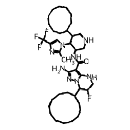 Cc1nc(C(F)(F)F)cn1C1C(NC(=O)c2c(N)nn3c2NCC(F)C3C2CCCCCCCCCCC2)CNCC1C1CCCCCCCCC1